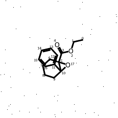 CCOC(=O)C12CCCCC1(c1ccccc1)O2